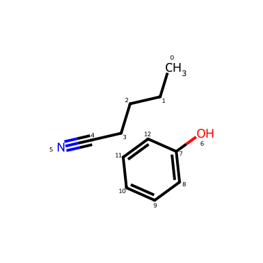 CCCCC#N.Oc1ccccc1